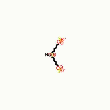 O=S(=O)(CCCCCCOS(=O)([O-])=S)CCCCCCOS(=O)([O-])=S.[Na+].[Na+]